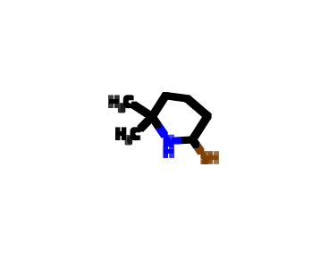 CC1(C)CCCC(S)N1